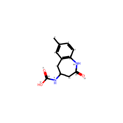 Cc1ccc2c(c1)CC(NC(=O)O)CC(=O)N2